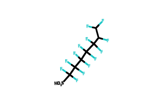 O=S(=O)(O)C(F)(F)C(F)(F)C(F)(F)C(F)(F)C(F)(F)C(F)C(F)F